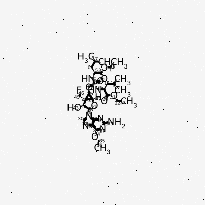 CCOC(=O)[C@H](CC(C)C)NP(=O)(N[C@@H](CC(C)C)C(=O)OCC)OC1[C@H]2O[C@@H](n3cnc4c(OCC)nc(N)nc43)[C@H](O)[C@@]12CF